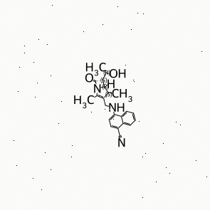 CC1=C(CNc2ccc(C#N)c3ccccc23)[C@H](C)[C@@H]2[C@@H]([C@@H](C)O)C(=O)N12